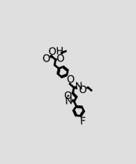 CCON=C(COc1ccc(CC(OCC)C(=O)O)cc1)c1cc(-c2ccc(F)cc2)no1